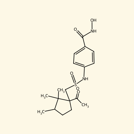 CC(=O)C1(CS(=O)(=O)Nc2ccc(C(=O)NO)cc2)CCC(C)C1(C)C